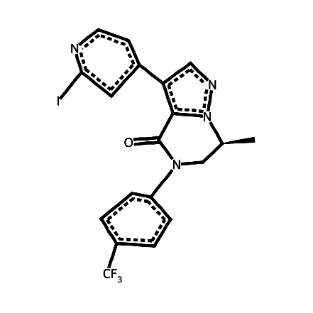 C[C@H]1CN(c2ccc(C(F)(F)F)cc2)C(=O)c2c(-c3ccnc(I)c3)cnn21